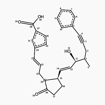 CC(CC#Cc1ccccc1)[C@H](O)C=C[C@H]1CCC(=O)N1CC=Cc1ccc(C(=O)O)s1